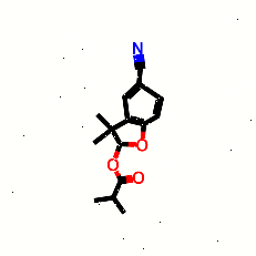 CC(C)C(=O)OC1Oc2ccc(C#N)cc2C1(C)C